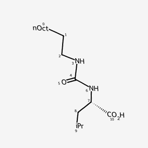 CCCCCCCCCCNC(=O)N[C@@H](CC(C)C)C(=O)O